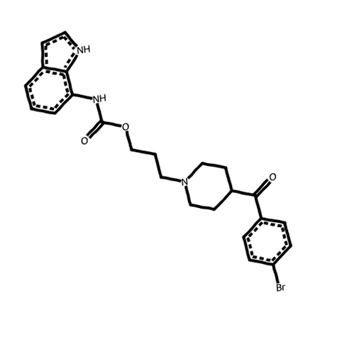 O=C(Nc1cccc2cc[nH]c12)OCCCN1CCC(C(=O)c2ccc(Br)cc2)CC1